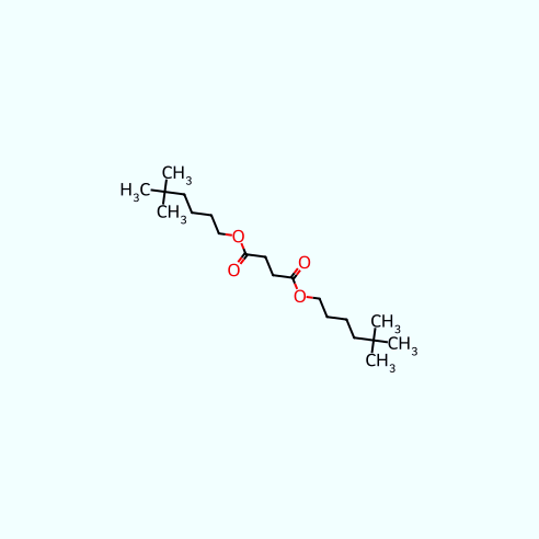 CC(C)(C)CCCCOC(=O)CCC(=O)OCCCCC(C)(C)C